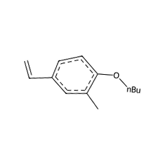 C=Cc1ccc(OCCCC)c(C)c1